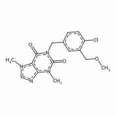 COCc1cc(Cn2c(=O)c3c(ncn3C)n(C)c2=O)ccc1Cl